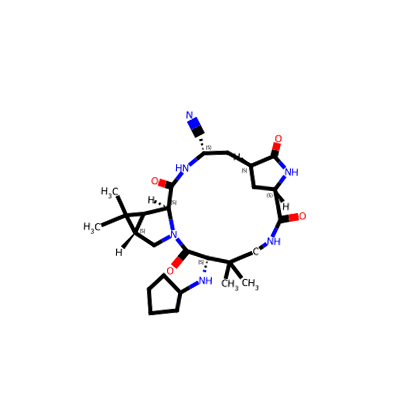 CC1(C)CNC(=O)[C@@H]2C[C@H](C[C@@H](C#N)NC(=O)[C@@H]3C4[C@H](CN3C(=O)[C@H]1NC1CCCC1)C4(C)C)C(=O)N2